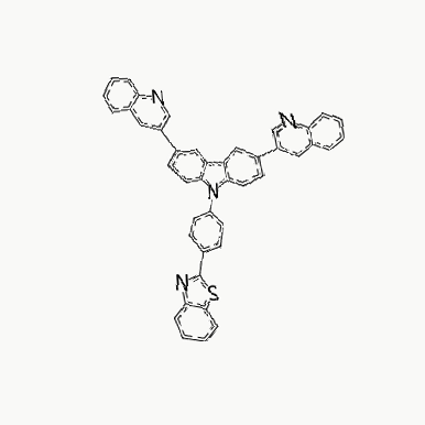 c1ccc2ncc(-c3ccc4c(c3)c3cc(-c5cnc6ccccc6c5)ccc3n4-c3ccc(-c4nc5ccccc5s4)cc3)cc2c1